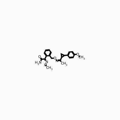 CON=C(C(N)=O)c1ccccc1CON=C(C)C1CC1c1ccc(OC)cc1